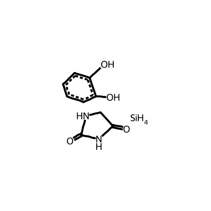 O=C1CNC(=O)N1.Oc1ccccc1O.[SiH4]